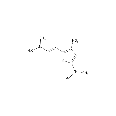 CC(=O)N(C)c1cc([N+](=O)[O-])c(/C=C/N(C)C)s1